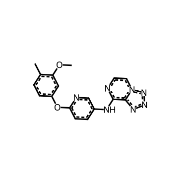 COc1cc(Oc2ccc(Nc3nccn4nnnc34)cn2)ccc1C